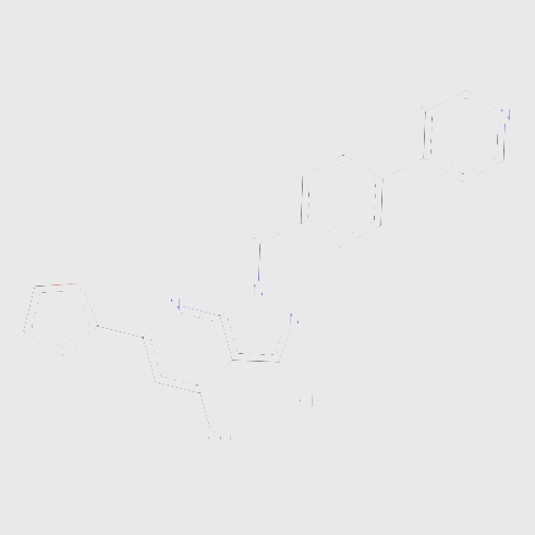 Cc1nn(Cc2ccc(-c3ccncc3)cc2)c2nc(-c3ccco3)cc(C(=O)O)c12